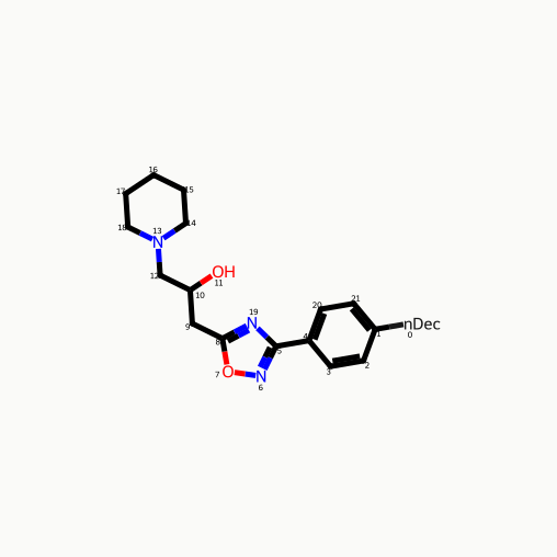 CCCCCCCCCCc1ccc(-c2noc(CC(O)CN3CCCCC3)n2)cc1